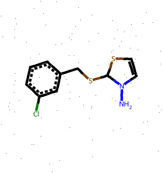 NN1C=CSC1SCc1cccc(Cl)c1